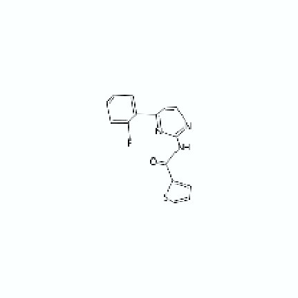 O=C(Nc1nccc(-c2ccccc2F)n1)c1cccs1